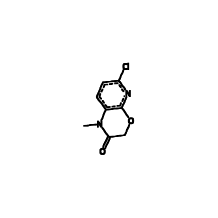 CN1C(=O)COc2nc(Cl)ccc21